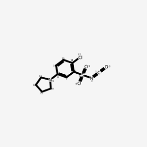 O=C=NS(=O)(=O)c1cc(N2CCCC2)ccc1Cl